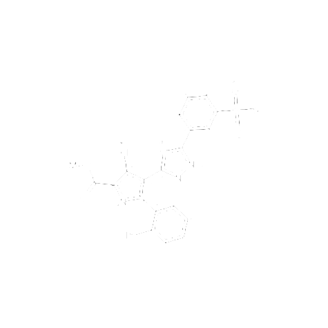 COC(=O)c1nn(-c2ccccc2C(C)C)c(-c2nnc(-c3cccc(S(C)(=O)=O)c3)o2)c1Cl